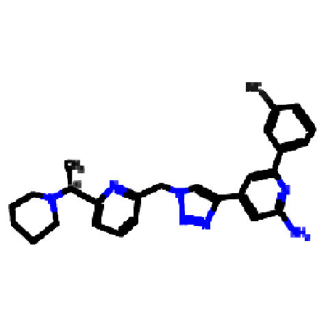 C[C@H](c1cccc(Cn2cc(-c3cc(N)nc(-c4cccc(C#N)c4)c3)nn2)n1)N1CCCCC1